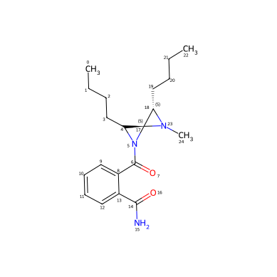 CCCCC1N(C(=O)c2ccccc2C(N)=O)[C@@]12[C@H](CCCC)N2C